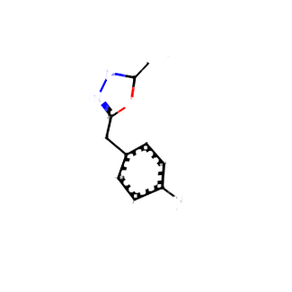 O=CC1NN=C(Cc2ccc([N+](=O)[O-])cc2)O1